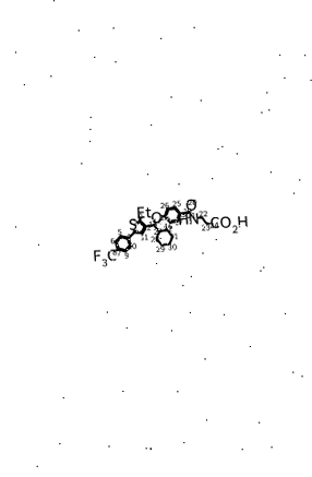 CCc1sc(-c2ccc(C(F)(F)F)cc2)cc1C(Oc1ccc(C(=O)NCCC(=O)O)cc1)C1CCCCC1